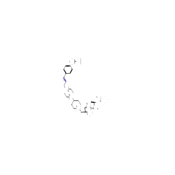 C[C@]1(CN2CCC(N3CCN(C/C=C/c4ccc(OC(F)(F)F)cc4)CC3)CC2)Cn2cc([N+](=O)[O-])nc2O1